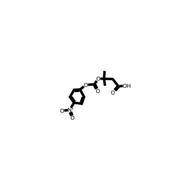 CC(C)(CC(=O)O)OC(=O)Oc1ccc([N+](=O)[O-])cc1